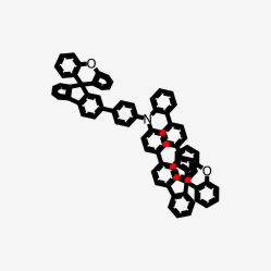 c1ccc(-c2ccc(-c3ccccc3N(c3ccc(-c4ccc5c(c4)C4(c6ccccc6Oc6ccccc64)c4ccccc4-5)cc3)c3ccc(-c4ccc5c(c4)C4(c6ccccc6Oc6ccccc64)c4ccccc4-5)cc3)cc2)cc1